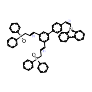 O=P(C/C=C/c1cc(/C=C/CP(=O)(c2ccccc2)c2ccccc2)cc(-c2ccc(/C=C\n3c4ccccc4c4ccccc43)cc2)c1)(c1ccccc1)c1ccccc1